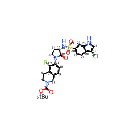 CC(C)(C)OC(=O)N1CCc2c(ccc(N3CC[C@H](NS(=O)(=O)c4ccc5c(Cl)c[nH]c5c4)C3=O)c2F)C1